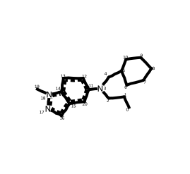 CCCN(CC1CCCCC1)c1ccc2c(cnn2C)c1